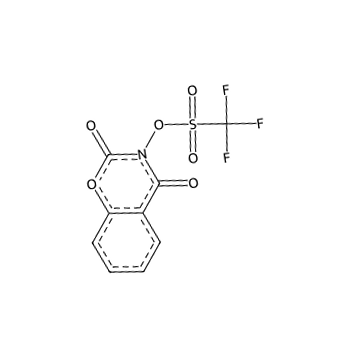 O=c1oc2ccccc2c(=O)n1OS(=O)(=O)C(F)(F)F